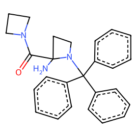 NC1(C(=O)N2CCC2)CCN1C(c1ccccc1)(c1ccccc1)c1ccccc1